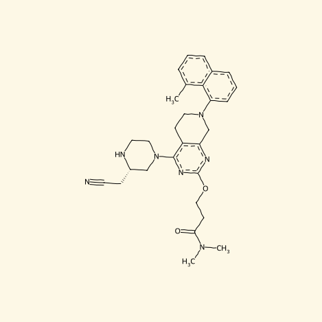 Cc1cccc2cccc(N3CCc4c(nc(OCCC(=O)N(C)C)nc4N4CCN[C@@H](CC#N)C4)C3)c12